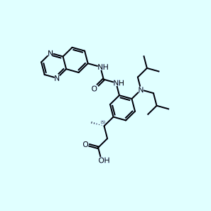 CC(C)CN(CC(C)C)c1ccc([C@@H](C)CC(=O)O)cc1NC(=O)Nc1ccc2nccnc2c1